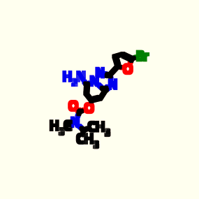 CC(C)N(C)C(=O)Oc1cc(N)n2nc(-c3ccc(Br)o3)nc2c1